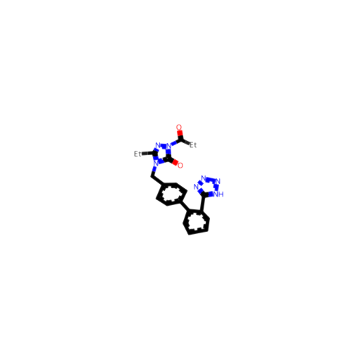 CCC(=O)n1nc(CC)n(Cc2ccc(-c3ccccc3-c3nnn[nH]3)cc2)c1=O